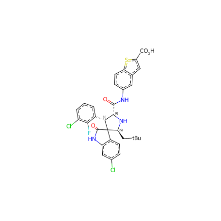 CC(C)(C)C[C@@H]1N[C@@H](C(=O)Nc2ccc3sc(C(=O)O)cc3c2)[C@@H](c2cccc(Cl)c2F)C12C(=O)Nc1cc(Cl)ccc12